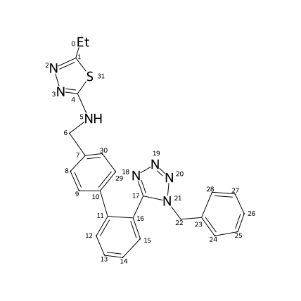 CCc1nnc(NCc2ccc(-c3ccccc3-c3nnnn3Cc3ccccc3)cc2)s1